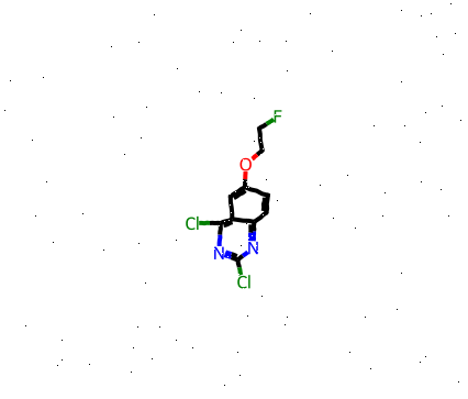 FCCOc1ccc2nc(Cl)nc(Cl)c2c1